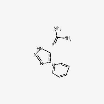 NC(N)=S.c1c[nH]nn1.c1ccncc1